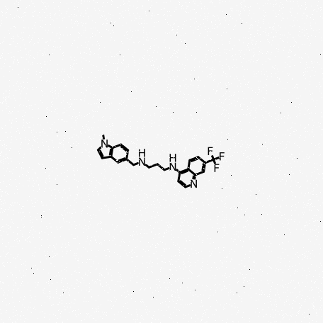 Cn1ccc2cc(CNCCCNc3ccnc4cc(C(F)(F)F)ccc34)ccc21